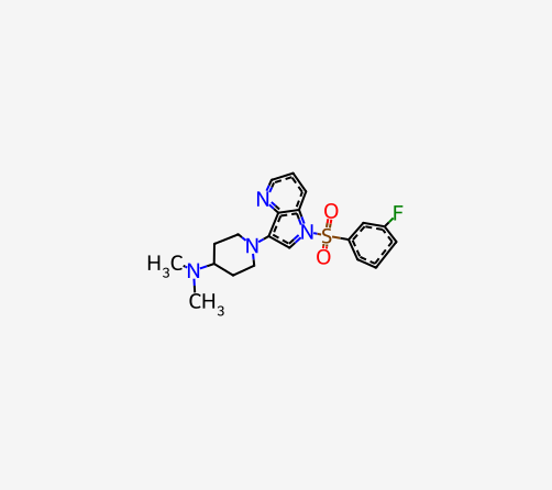 CN(C)C1CCN(c2cn(S(=O)(=O)c3cccc(F)c3)c3cccnc23)CC1